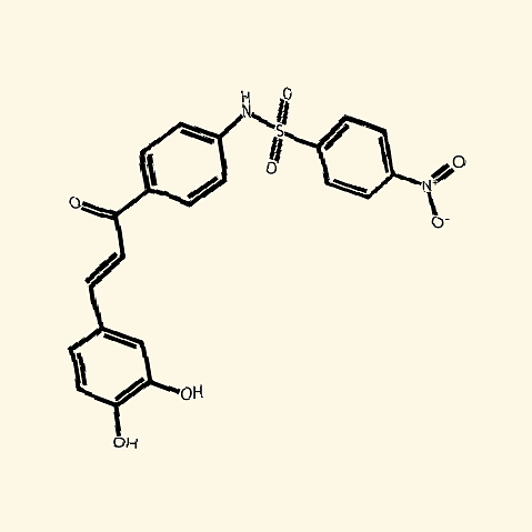 O=C(/C=C/c1ccc(O)c(O)c1)c1ccc(NS(=O)(=O)c2ccc([N+](=O)[O-])cc2)cc1